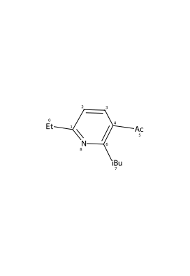 CCc1ccc(C(C)=O)c(C(C)CC)n1